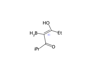 B/C(C(=O)C(C)C)=C(\O)CC